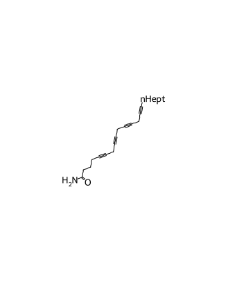 CCCCCCCC#CCC#CCC#CCC#CCCCC(N)=O